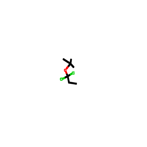 CCC(Cl)(Cl)OC(C)(C)C